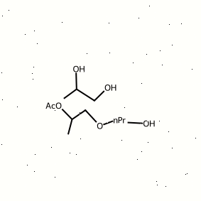 CC(O)CO.CCCOCC(C)OC(C)=O.CO